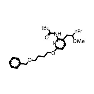 CCCC(Cc1ccc(OCCCCOCc2ccccc2)nc1NC(=O)C(C)(C)C)OC